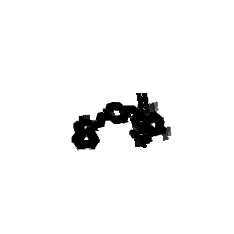 OC(CN1CCN(CCn2ncc3ccccc32)CC1)(Cn1cncn1)c1ccc(F)cc1F